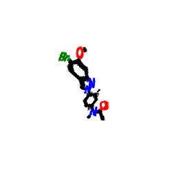 COc1cc2nn([C@H]3CC[C@@H](N(C)C(C)=O)C[C@H]3C)cc2cc1Br